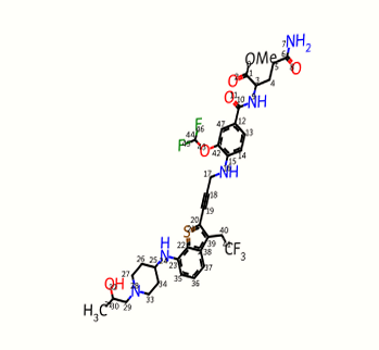 COC(=O)C(CCC(N)=O)NC(=O)c1ccc(NCC#Cc2sc3c(NC4CCN(CC(C)O)CC4)cccc3c2CC(F)(F)F)c(OC(F)F)c1